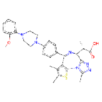 COc1ccccc1N1CCN(c2ccc(C3=NC([C@H](C)C(=O)O)c4nnc(C)n4-c4sc(C)c(C)c43)cc2)CC1